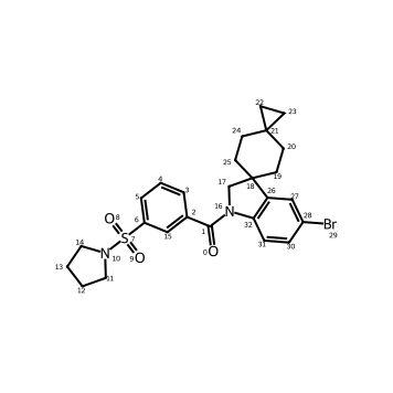 O=C(c1cccc(S(=O)(=O)N2CCCC2)c1)N1CC2(CCC3(CC3)CC2)c2cc(Br)ccc21